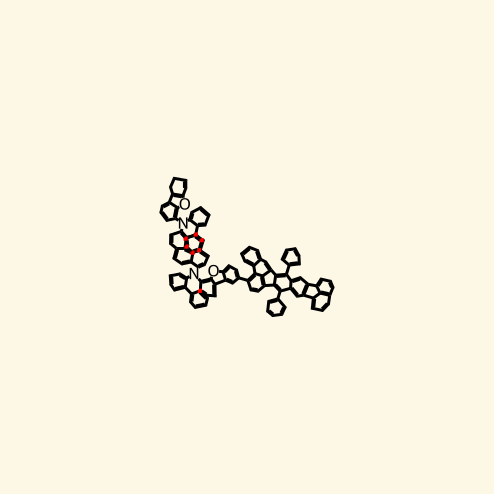 C1=Cc2oc3c(N(c4ccccc4-c4ccccc4)c4ccc5ccc6c(N(c7ccccc7-c7ccccc7)c7cccc8c7oc7ccc(-c9ccc%10c%11c(-c%12ccccc%12)c%12cc%13c(cc%12c(-c%12ccccc%12)c%11c%11cc%12ccccc%12c9c%10%11)c9cccc%10cccc%13c%109)cc78)ccc7ccc4c5c76)cccc3c2CC1